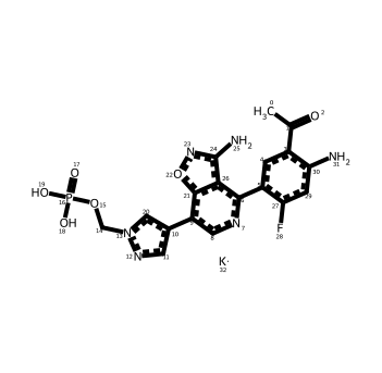 CC(=O)c1cc(-c2ncc(-c3cnn(COP(=O)(O)O)c3)c3onc(N)c23)c(F)cc1N.[K]